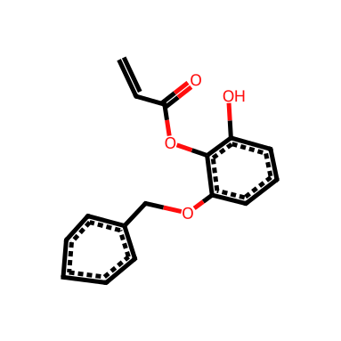 C=CC(=O)Oc1c(O)cccc1OCc1ccccc1